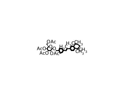 CC(=O)OC[C@H]1O[C@@H](OCc2ccc(/C=C(\C)c3ccc4c(c3)C(C)(C)CCC4(C)C)cc2)[C@H](OC(C)=O)[C@@H](OC(C)=O)[C@@H]1OC(C)=O